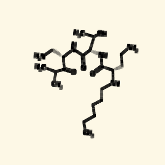 CCCCCCN[C@@H](CCN)C(=O)N[C@H](C(=O)N[C@@H](CN)C(=O)C(C)C)C(C)O